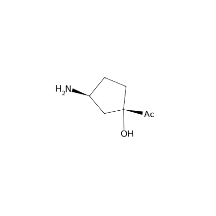 CC(=O)[C@]1(O)CC[C@H](N)C1